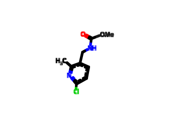 COC(=O)NCc1ccc(Cl)nc1C